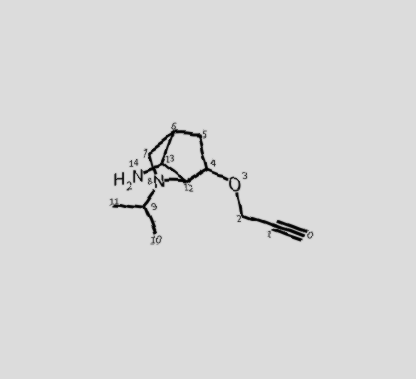 C#CCOC1CC2CN(C(C)C)C1C2N